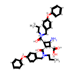 CCCN(Cc1ccc(Oc2ccccc2)cc1)C(=O)[C@H]1[C@@H](C(=O)O)[C@H](N)[C@@H]1C(=O)N(CCC)Cc1ccc(Oc2ccccc2)cc1